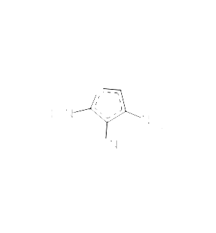 N#Cc1c(N)csc1N